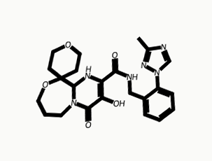 Cc1ncn(-c2ccccc2CNC(=O)C2=C(O)C(=O)N3CCCOC4(CCOCC4)C3N2)n1